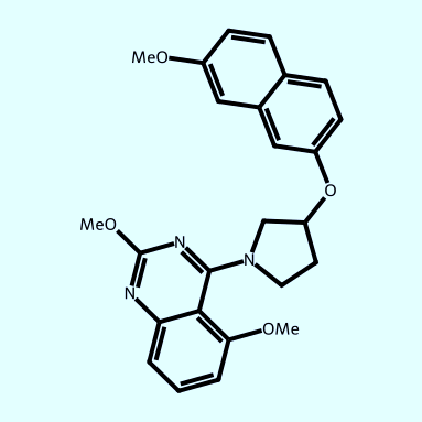 COc1ccc2ccc(OC3CCN(c4nc(OC)nc5cccc(OC)c45)C3)cc2c1